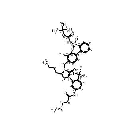 CCCCc1nn(-c2cc(NC(=O)CCSC)ccc2C(F)(F)F)c(=O)n1Cc1ccc(-c2ccccc2S(=O)(=O)NC(=O)OC(C)(C)C)cc1F